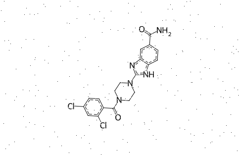 NC(=O)c1ccc2[nH]c(N3CCN(C(=O)c4ccc(Cl)cc4Cl)CC3)nc2c1